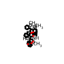 COc1ccccc1C(O)(c1ccccc1OC)[C@@H](Cc1ccccc1)NC(=O)C1(C(=O)N[C@H](Cc2ccccc2)C(O)(c2ccccc2OC)c2ccccc2OC)CC1